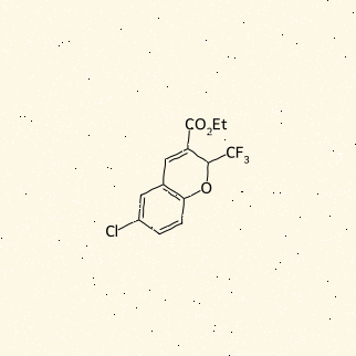 CCOC(=O)C1=Cc2cc(Cl)ccc2OC1C(F)(F)F